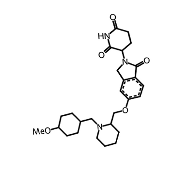 COC1CCC(CN2CCCCC2COc2ccc3c(c2)CN(C2CCC(=O)NC2=O)C3=O)CC1